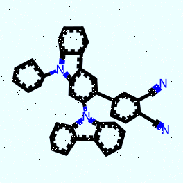 N#Cc1ccc(-c2cc3c4ccccc4n(-c4ccccc4)c3cc2-n2c3ccccc3c3ccccc32)cc1C#N